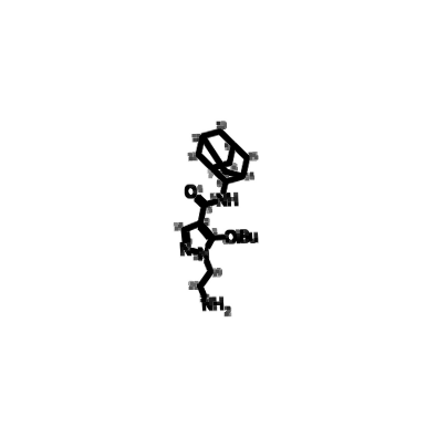 CC(C)COc1c(C(=O)NC2C3CC4CC(C3)CC2C4)cnn1CCN